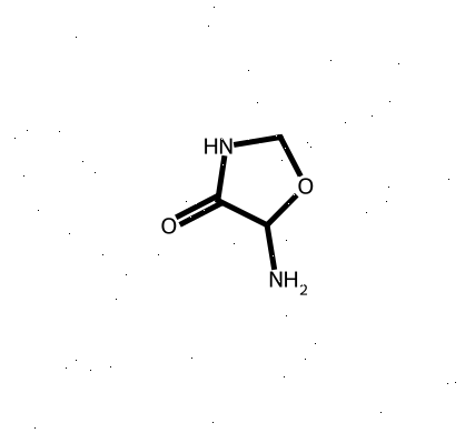 NC1OCNC1=O